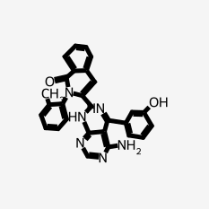 Cc1ccccc1-n1c(CNc2ncnc(N)c2C(=N)c2cccc(O)c2)cc2ccccc2c1=O